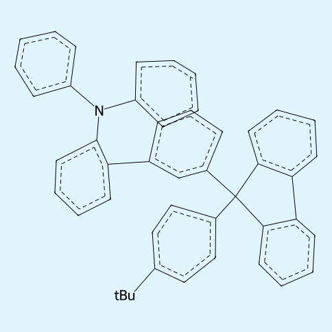 CC(C)(C)c1ccc(C2(c3cccc(-c4ccccc4N(c4ccccc4)c4ccccc4)c3)c3ccccc3-c3ccccc32)cc1